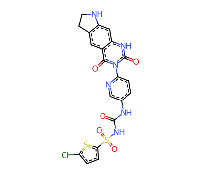 O=C(Nc1ccc(-n2c(=O)[nH]c3cc4c(cc3c2=O)CCN4)nc1)NS(=O)(=O)c1ccc(Cl)s1